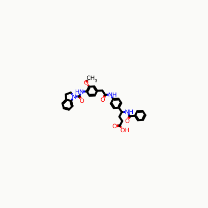 COc1cc(CC(=O)Nc2ccc(C(CCC(=O)O)NC(=O)c3ccccc3)cc2)ccc1NC(=O)N1CCc2ccccc21